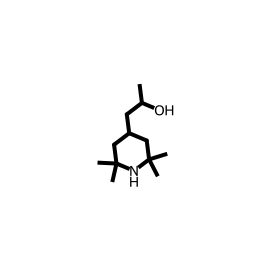 CC(O)CC1CC(C)(C)NC(C)(C)C1